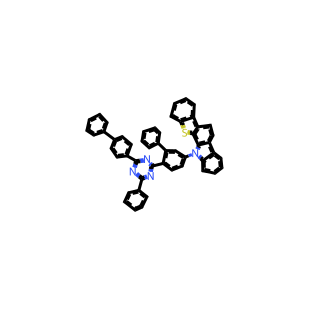 c1ccc(-c2ccc(-c3nc(-c4ccccc4)nc(-c4ccc(-n5c6ccccc6c6ccc7c8ccccc8sc7c65)cc4-c4ccccc4)n3)cc2)cc1